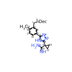 CCCCCCCCCCCc1cc(-c2nnc(C3(C(=N)N)CC3)[nH]2)ccc1C